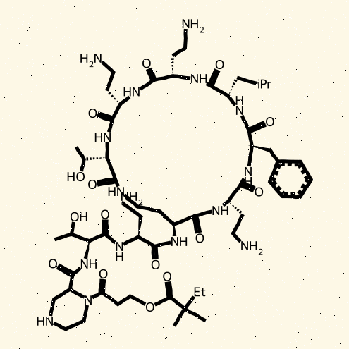 CCC(C)(C)C(=O)OCCC(=O)N1CCNCC1C(=O)N[C@H](C(=O)N[C@@H](CCN)C(=O)N[C@H]1CCNC(=O)[C@H](C(C)O)NC(=O)[C@H](CCN)NC(=O)[C@H](CCN)NC(=O)[C@H](CC(C)C)NC(=O)[C@@H](Cc2ccccc2)NC(=O)[C@H](CCN)NC1=O)C(C)O